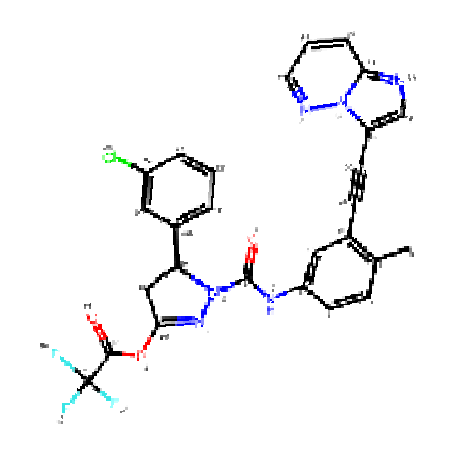 Cc1ccc(NC(=O)N2N=C(OC(=O)C(F)(F)F)CC2c2cccc(Cl)c2)cc1C#Cc1cnc2cccnn12